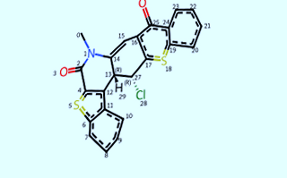 CN1C(=O)c2sc3ccccc3c2[C@@H]2C1=Cc1c(sc3ccccc3c1=O)[C@@H]2Cl